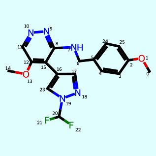 COc1ccc(CNc2nncc(OC)c2-c2cnn(C(F)F)c2)cc1